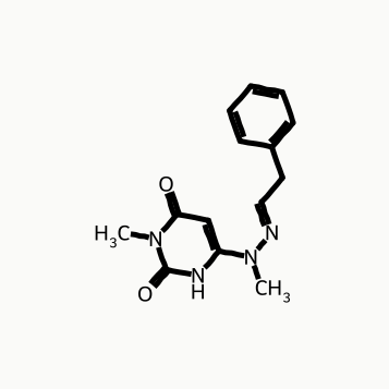 CN(/N=C/Cc1ccccc1)c1cc(=O)n(C)c(=O)[nH]1